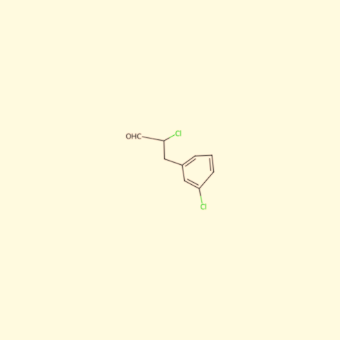 O=CC(Cl)Cc1cccc(Cl)c1